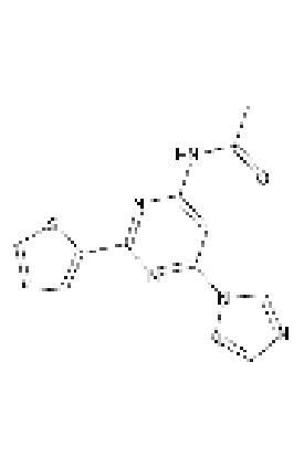 CC(=O)Nc1cc(-n2cncn2)nc(-c2cccs2)n1